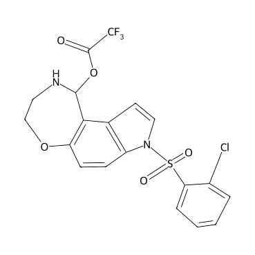 O=C(OC1NCCOc2ccc3c(ccn3S(=O)(=O)c3ccccc3Cl)c21)C(F)(F)F